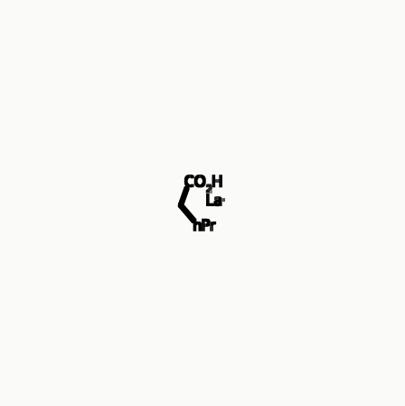 CCCCC(=O)O.[La]